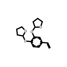 C=Cc1ccc(OC2CCCO2)c(OC2CCCO2)c1